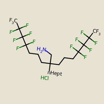 CCCCCCCC(CN)(CCCC(F)(F)C(F)(F)C(F)(F)C(F)(F)F)CCCC(F)(F)C(F)(F)C(F)(F)C(F)(F)F.Cl